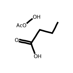 CC(=O)OO.CCCC(=O)O